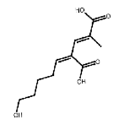 CC(=CC(=CCCCCO)C(=O)O)C(=O)O